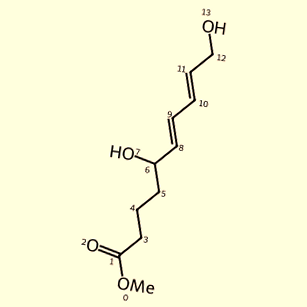 COC(=O)CCCC(O)C=CC=CCO